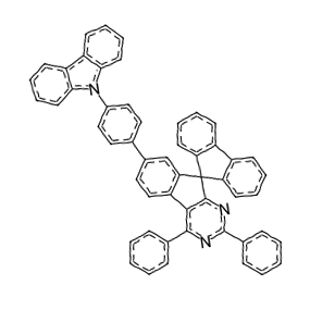 c1ccc(-c2nc(-c3ccccc3)c3c(n2)C2(c4ccccc4-c4ccccc42)c2cc(-c4ccc(-n5c6ccccc6c6ccccc65)cc4)ccc2-3)cc1